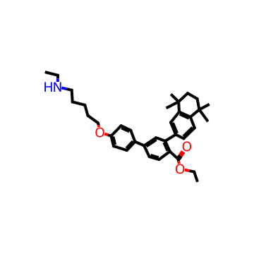 CCNCCCCCOc1ccc(-c2ccc(C(=O)OCC)c(-c3ccc4c(c3)C(C)(C)CCC4(C)C)c2)cc1